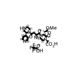 COC(=O)C[C@@H]1C(=O)N(CC(=O)O)CCN1C(=O)C(N)CC(=O)N1CCNC[C@@H]1c1ccncc1.O=C(O)C(F)(F)F